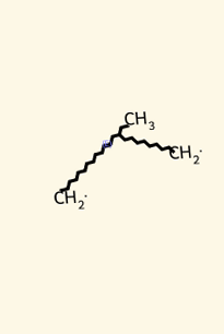 [CH2]CCCCCCCCCC/C=C/CC(CCC)CCCCCCCC[CH2]